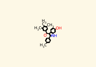 Cc1ccc(-c2[nH]c3cc(O)ccc3c2C(=O)c2cc(C)c(C)c(C)c2)cc1